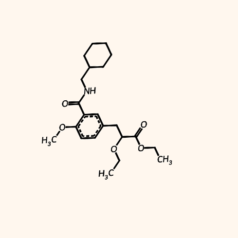 CCOC(=O)C(Cc1ccc(OC)c(C(=O)NCC2CCCCC2)c1)OCC